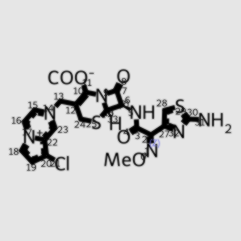 CO/N=C(\C(=O)N[C@@H]1C(=O)N2C(C(=O)[O-])=C(Cn3cc[n+]4ccc(Cl)c-4c3)CS[C@H]12)c1csc(N)n1